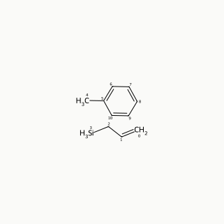 C=CC[SiH3].Cc1ccccc1